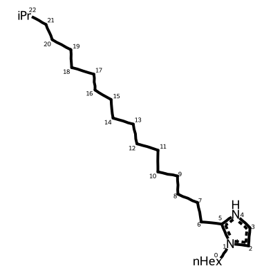 CCCCCC[n+]1cc[nH]c1CCCCCCCCCCCCCCCCC(C)C